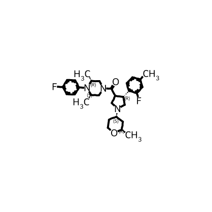 Cc1ccc([C@@H]2CN([C@H]3CCO[C@H](C)C3)CC2C(=O)N2C[C@@H](C)N(c3ccc(F)cc3)[C@@H](C)C2)c(F)c1